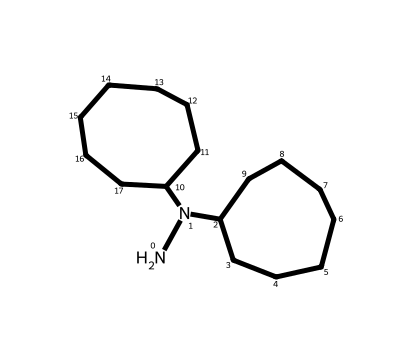 NN(C1CCCCCCC1)C1CCCCCCC1